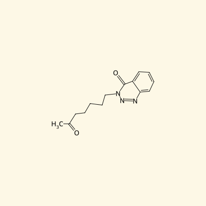 CC(=O)CCCCCn1nnc2ccccc2c1=O